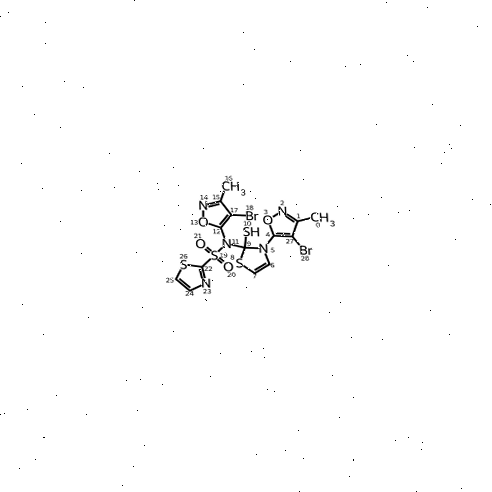 Cc1noc(N2C=CSC2(S)N(c2onc(C)c2Br)S(=O)(=O)c2nccs2)c1Br